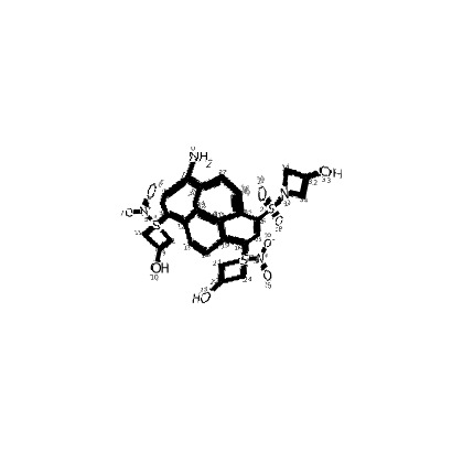 Nc1cc(S2([N+](=O)[O-])CC(O)C2)c2ccc3c(S4([N+](=O)[O-])CC(O)C4)cc(S(=O)(=O)N4CC(O)C4)c4ccc1c2c34